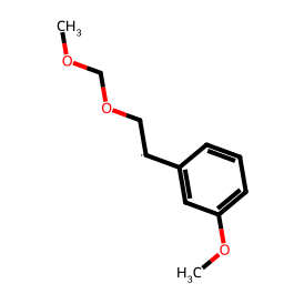 COCOC[CH]c1cccc(OC)c1